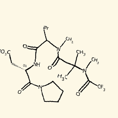 CC(C)C(C(=O)N[C@@H](CC(=O)O)C(=O)N1CCCC1)N(C)C(=O)C(C)(C)N(C)C(=O)C(F)(F)F